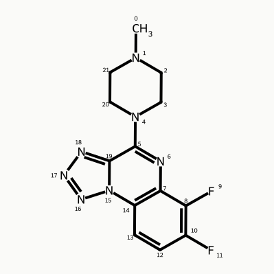 CN1CCN(c2nc3c(F)c(F)ccc3n3nnnc23)CC1